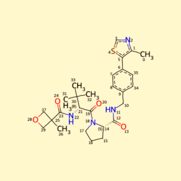 Cc1ncsc1-c1ccc(CNC(=O)[C@@H]2CCCN2C(=O)[C@H](NC(=O)C2(C)COC2)C(C)(C)C)cc1